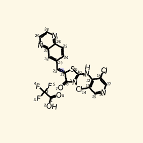 O=C(O)C(F)(F)F.O=C1N=C(Nc2c(Cl)cncc2Cl)S/C1=C\c1ccc2nccnc2c1